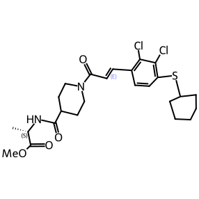 COC(=O)[C@H](C)NC(=O)C1CCN(C(=O)/C=C/c2ccc(SC3CCCCC3)c(Cl)c2Cl)CC1